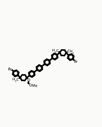 COCOC1(c2ccc(-c3ccc(-c4ccc(-c5ccc(C6(C)CCC(C)(c7ccc(Br)cc7)CC6)cc5)cc4)cc3)cc2)CCC(C)(c2ccc(Br)cc2)CC1